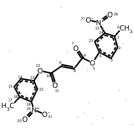 Cc1ccc(OC(=O)C=CC(=O)Oc2ccc(C)c([N+](=O)[O-])c2)cc1[N+](=O)[O-]